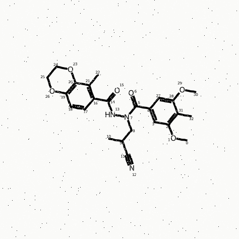 COc1cc(C(=O)N(CC(C)C#N)NC(=O)c2ccc3c(c2C)OCCO3)cc(OC)c1C